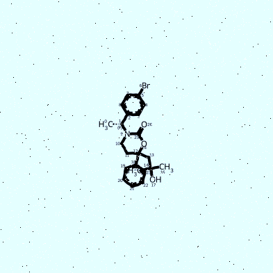 C[C@H](c1ccc(Br)cc1)N1CCC(CC(C)(C)O)(c2ccccc2)OC1=O